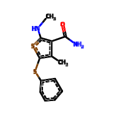 CNc1sc(Sc2ccccc2)c(C)c1C(N)=O